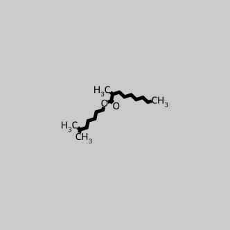 CCCCCCCC(C)C(=O)OCCCCCC(C)C